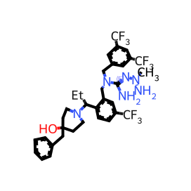 CCC(c1ccc(C(F)(F)F)cc1CN(Cc1cc(C(F)(F)F)cc(C(F)(F)F)c1)/C(N)=N/N(C)N)N1CCC(O)(Cc2ccccc2)CC1